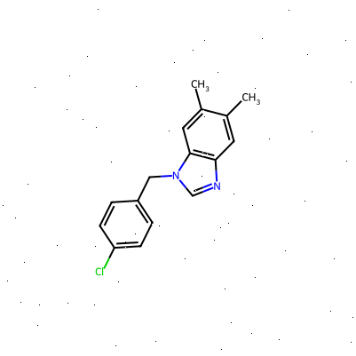 Cc1cc2ncn(Cc3ccc(Cl)cc3)c2cc1C